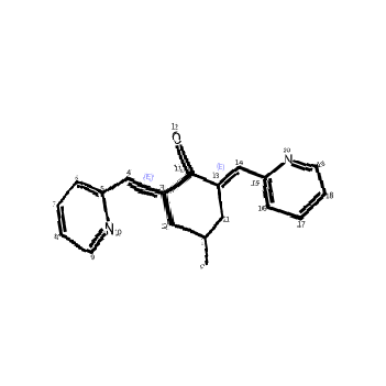 CC1C/C(=C\c2ccccn2)C(=O)/C(=C/c2ccccn2)C1